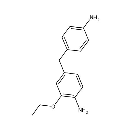 CCOc1cc(Cc2ccc(N)cc2)ccc1N